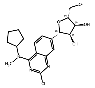 CN(c1nc(Cl)nc2cc([C@@H]3O[C@H](C[O])[C@@H](O)[C@H]3O)ccc12)C1CCCC1